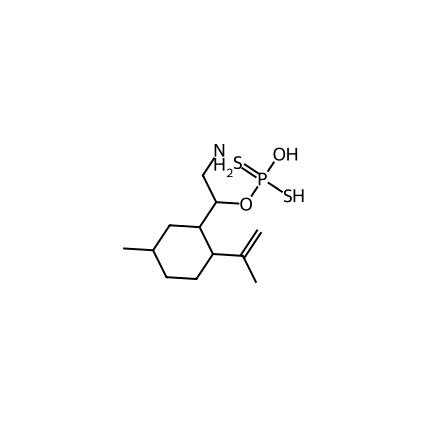 C=C(C)C1CCC(C)CC1C(CN)OP(O)(=S)S